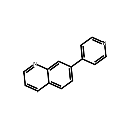 [c]1ccnc2cc(-c3ccncc3)ccc12